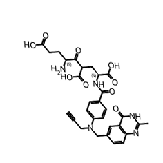 C#CCN(Cc1ccc2nc(C)[nH]c(=O)c2c1)c1ccc(C(=O)N[C@@H](CC(C(=O)O)C(=O)[C@@H](N)CCC(=O)O)C(=O)O)cc1